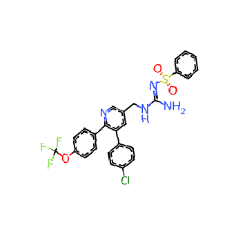 N/C(=N\S(=O)(=O)c1ccccc1)NCc1cnc(-c2ccc(OC(F)(F)F)cc2)c(-c2ccc(Cl)cc2)c1